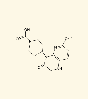 COc1ccc2c(n1)N(C1CCN(C(=O)O)CC1)C(=O)CN2